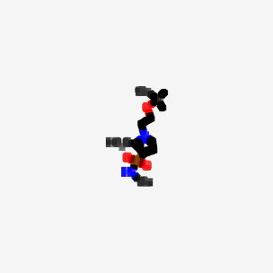 CC(C)(C)NS(=O)(=O)c1ccn(CCO[Si](C)(C)C(C)(C)C)c1C(=O)O